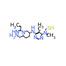 C=CC(=N)N1CC(Nc2ncnc(N(C)CS)c2C)CCC1CN